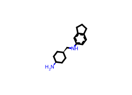 N[C@H]1CC[C@@H](CNc2ccc3c(c2)CCC3)CC1